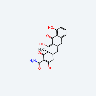 CC12C(=O)C(C(N)=O)=C(O)CC1CC1Cc3cccc(O)c3C(=O)C1=C2O